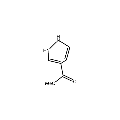 COC(=O)C1=CNNC=C1